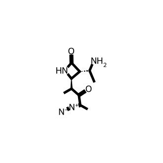 CC(=[N+]=[N-])C(=O)C(C)[C@H]1NC(=O)[C@@H]1C(C)N